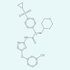 N#Cc1cccc(Oc2cnc(NC(=O)[C@H](CC3CCOCC3)c3ccc(S(=O)(=O)C4CC4)cc3)s2)c1